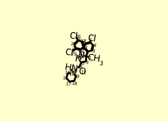 CC1(c2ccc(Cl)cc2)CC(C(=O)NN2CCCCC2)=NN1c1ccc(Cl)cc1Cl